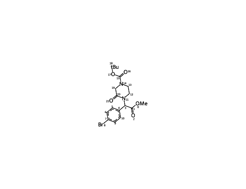 COC(=O)C(c1ccc(Br)cc1)N1CCN(C(=O)OC(C)(C)C)CC1=O